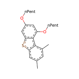 CCCCCOc1cc(OCCCCC)c2c(c1)sc1cc(C)cc(C)c12